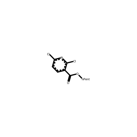 CCCCCOC(=O)c1ccc(Cl)nc1Cl